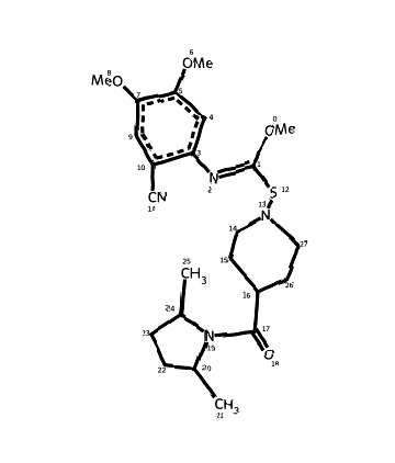 CO/C(=N\c1cc(OC)c(OC)cc1C#N)SN1CCC(C(=O)N2C(C)CCC2C)CC1